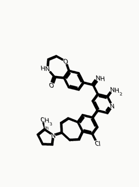 C[C@@H]1CCCN1C1CCc2cc(-c3cnc(N)c(C(=N)c4ccc5c(c4)OCCNC5=O)c3)cc(Cl)c2CC1